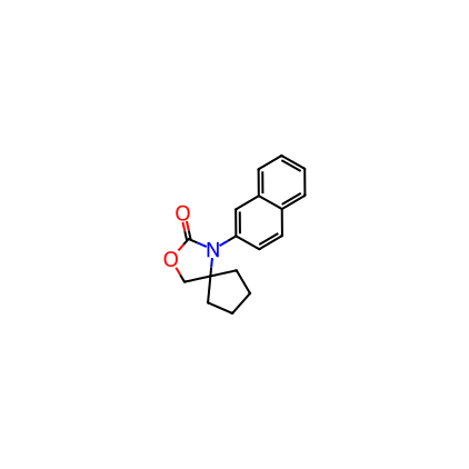 O=C1OCC2(CCCC2)N1c1ccc2ccccc2c1